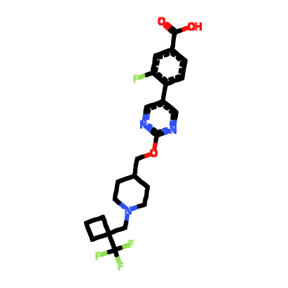 O=C(O)c1ccc(-c2cnc(OCC3CCN(CC4(C(F)(F)F)CCC4)CC3)nc2)c(F)c1